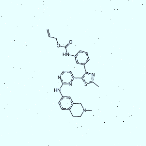 C=CCOC(=O)Nc1cccc(-c2nc(C)sc2-c2ccnc(Nc3ccc4c(c3)CN(C)CC4)n2)c1